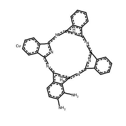 Nc1ccc2c3nc4nc(nc5[nH]c(nc6nc(nc([nH]3)c2c1N)-c1ccccc1-6)c1ccccc51)-c1ccccc1-4.[Cu]